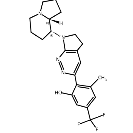 Cc1cc(C(F)(F)F)cc(O)c1-c1cc2c(nn1)N([C@@H]1CCCN3CCC[C@H]13)CC2